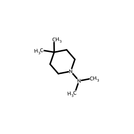 CN(C)N1CCC(C)(C)CC1